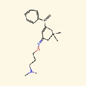 C=C(C1=C/C(=N/OCCCN(C)C)CC(C)(C)C1)c1ccccc1